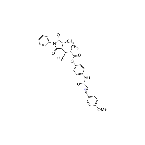 COc1ccc(/C=C/C(=O)Nc2ccc(OC(=O)C(C)C(C)C3C(=O)N(c4ccccc4)C(=O)C3C)cc2)cc1